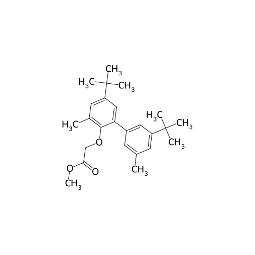 COC(=O)COc1c(C)cc(C(C)(C)C)cc1-c1cc(C)cc(C(C)(C)C)c1